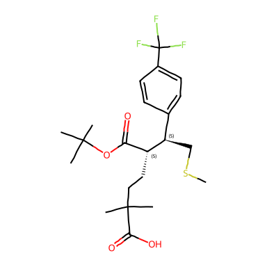 CSC[C@H](c1ccc(C(F)(F)F)cc1)[C@H](CCC(C)(C)C(=O)O)C(=O)OC(C)(C)C